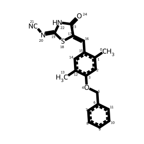 Cc1cc(OCc2ccccc2)c(C)cc1/C=C1\S/C(=N/C#N)NC1=O